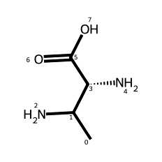 CC(N)[C@@H](N)C(=O)O